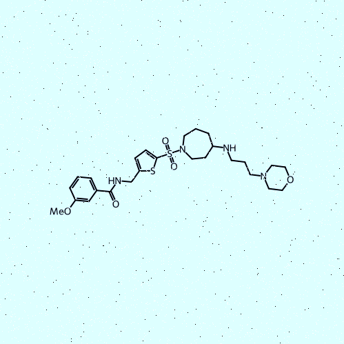 COc1cccc(C(=O)NCc2ccc(S(=O)(=O)N3CCCC(NCCCN4CCOCC4)CC3)s2)c1